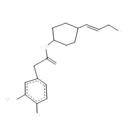 COc1cc(CC(=O)NC2CCC(C=CCC(C)C)CC2)ccc1O